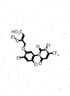 CCOC(=CC(=O)O)COc1cc(-n2c(=O)cc(C(F)(F)F)n(CC)c2=O)c(Cl)cc1Cl